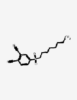 CCCCCCCCS(=O)(=O)c1ccc(C#N)c(C#N)c1